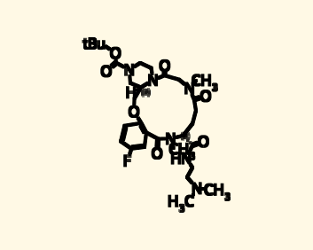 CN(C)CCNC(=O)[C@H]1CCC(=O)N(C)CC(=O)N2CCN(C(=O)OC(C)(C)C)C[C@@H]2COc2ccc(F)cc2C(=O)N1C